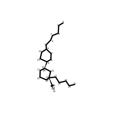 CCCCCCC1CCC([C@@H]2CCC[C@@](C#N)(CCCCC)C2)CC1